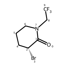 O=C1[C@H](Br)CCCN1CC(F)(F)F